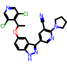 CC(Oc1ccc2[nH]nc(-c3cnc(N4CCCC4)c(C#N)c3)c2c1)c1c(Cl)cncc1Cl